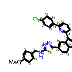 COc1ccc(CNc2nnc(-c3ccc4c(c3)C(c3cccc(-c5ccc(Cl)cc5)n3)=CC4)s2)cc1